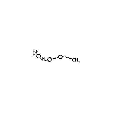 CCCCCCc1ccc(C#Cc2ccc(C[N]Cc3ccc(C(F)(F)F)cc3)cc2)cc1